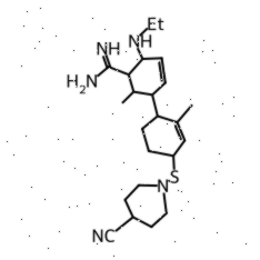 CCNC1C=CC(C2CCC(SN3CCC(C#N)CC3)C=C2C)C(C)C1C(=N)N